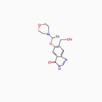 CCC(Oc1cc2c(=O)[nH]cnc2cc1CO)N1CCOCC1